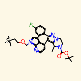 Cc1cn(COCC[Si](C)(C)C)c2nccc(-c3c(-c4ccc(F)cc4)nn4c3C(C)N(C(=O)OC(C)(C)C)CC4)c12